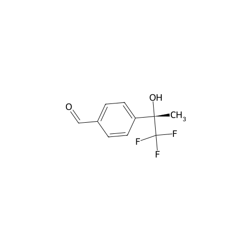 C[C@](O)(c1ccc(C=O)cc1)C(F)(F)F